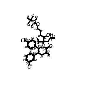 C=CC[C@@](CC)(C(O)CCCO[Si](C)(C)C(C)(C)C)N1C(=O)C(C)CC(c2cccc(Cl)c2)C1c1ccc(Cl)cc1